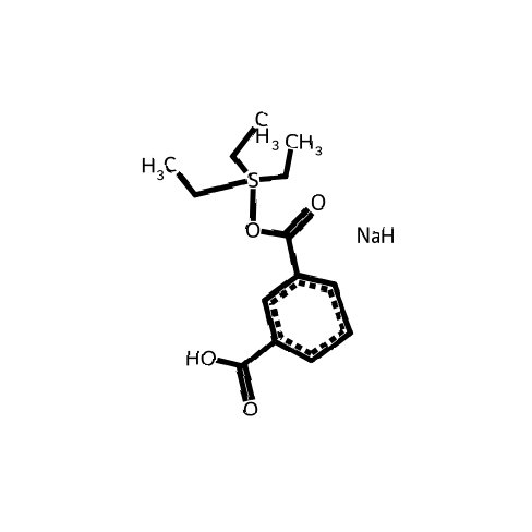 CCS(CC)(CC)OC(=O)c1cccc(C(=O)O)c1.[NaH]